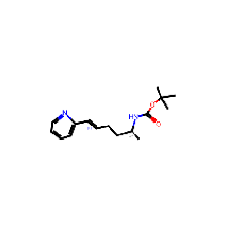 C[C@@H](CC/C=C/c1ccccn1)NC(=O)OC(C)(C)C